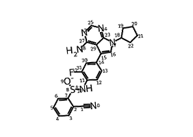 N#Cc1ccccc1[S+]([O-])Nc1ccc(-c2cn(C3CCCC3)c3ncnc(N)c23)cc1F